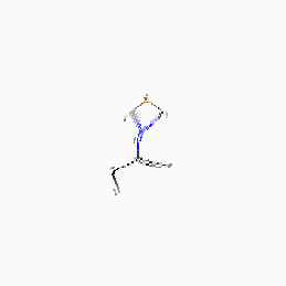 C=C(CC)N1CSC1